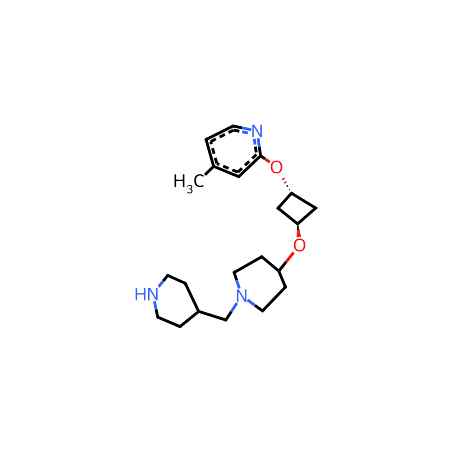 Cc1ccnc(O[C@H]2C[C@H](OC3CCN(CC4CCNCC4)CC3)C2)c1